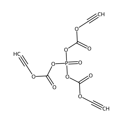 C#COC(=O)OP(=O)(OC(=O)OC#C)OC(=O)OC#C